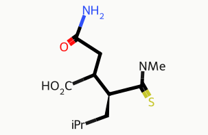 CNC(=S)[C@@H](CC(C)C)C(CC(N)=O)C(=O)O